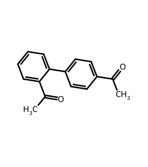 CC(=O)c1ccc(-c2ccccc2C(C)=O)cc1